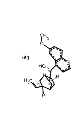 C=C[C@@H]1CN2CCC1C[C@@H]2[C@H](O)c1ccnc2ccc(OC)cc12.Cl